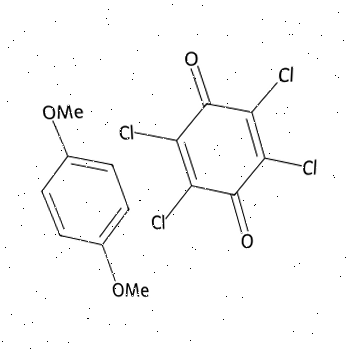 COc1ccc(OC)cc1.O=C1C(Cl)=C(Cl)C(=O)C(Cl)=C1Cl